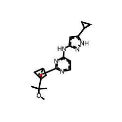 COC(C)(C)C12CC(C1)N(c1nccc(Nc3cc(C4CC4)[nH]n3)n1)C2